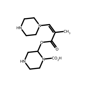 CC(=CN1CCNCC1)C(=O)OC1CNCCN1C(=O)O